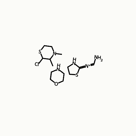 C1COCCN1.CC1C(Cl)SCCN1C.NC=[N+]=C1NCCS1